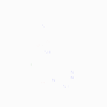 Cc1ccc2c(c1)Nc1c(cnn1C)CN2C(=O)c1ccc(CNC(=O)OC2CCN(CCC(C)(C)C)CC2)c(F)c1